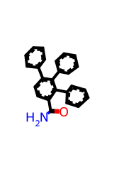 NC(=O)c1ccc(-c2ccccc2)c(-c2ccccc2)c1-c1ccccc1